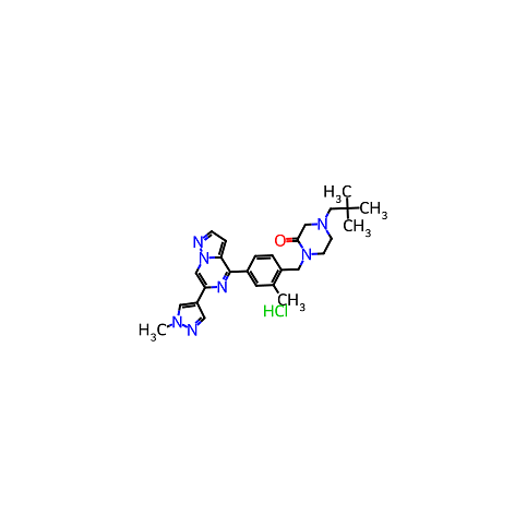 Cc1cc(-c2nc(-c3cnn(C)c3)cn3nccc23)ccc1CN1CCN(CC(C)(C)C)CC1=O.Cl